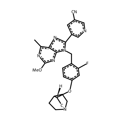 COc1nc(C)c2nc(-c3cncc(C#N)c3)n(Cc3ccc(O[C@@H]4CN5CCC4CC5)cc3F)c2n1